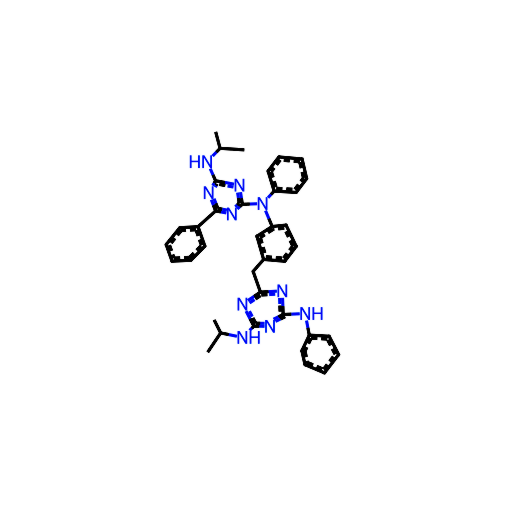 CC(C)Nc1nc(Cc2cccc(N(c3ccccc3)c3nc(NC(C)C)nc(-c4ccccc4)n3)c2)nc(Nc2ccccc2)n1